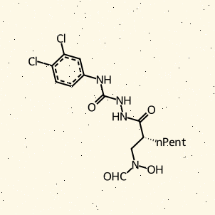 CCCCC[C@H](CN(O)C=O)C(=O)NNC(=O)Nc1ccc(Cl)c(Cl)c1